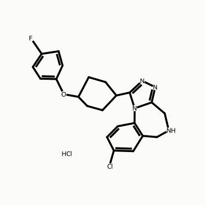 Cl.Fc1ccc(OC2CCC(c3nnc4n3-c3ccc(Cl)cc3CNC4)CC2)cc1